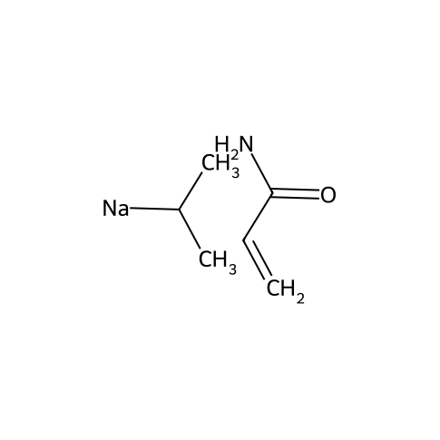 C=CC(N)=O.C[CH](C)[Na]